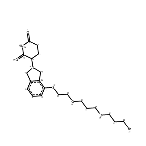 O=C1CCC(N2Cc3cccc(SCCOCCCOCCCBr)c3C2)C(=O)N1